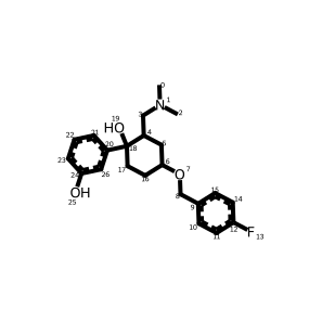 CN(C)CC1CC(OCc2ccc(F)cc2)CCC1(O)c1cccc(O)c1